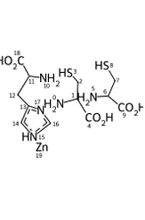 NC(CS)C(=O)O.NC(CS)C(=O)O.NC(Cc1c[nH]cn1)C(=O)O.[Zn]